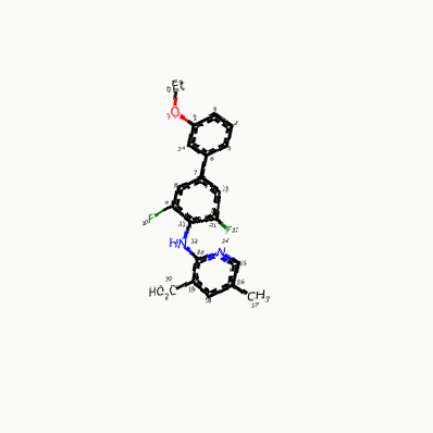 CCOc1cccc(-c2cc(F)c(Nc3ncc(C)cc3C(=O)O)c(F)c2)c1